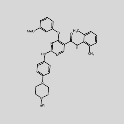 CCCN1CCN(c2ccc(Nc3ncc(C(=O)Nc4c(C)cccc4C)c(Oc4cccc(OC)c4)n3)cc2)CC1